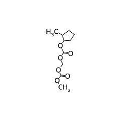 COC(=O)OCOC(=O)OC1CCCC1C